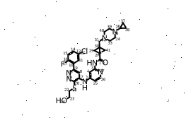 O=C(Nc1cc(Nc2cc(-c3cc(Cl)ccc3F)nnc2SCCO)ccn1)C12CC1(CN1CCN(C3CC3)CC1)C2